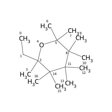 CCC1(C)OC(C)(C)C(C)(C)C(C)(C)C1(C)C